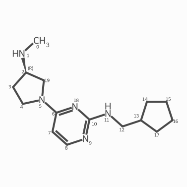 CN[C@@H]1CCN(c2ccnc(NCC3CCCC3)n2)C1